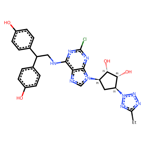 CCc1nnn([C@H]2C[C@@H](n3cnc4c(NCC(c5ccc(O)cc5)c5ccc(O)cc5)nc(Cl)nc43)[C@H](O)[C@@H]2O)n1